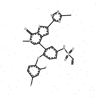 C=CS(=O)(=O)Nc1ccc(Oc2ccc(F)cc2F)c(-c2cn(C)c(=O)c3sc(-c4nnc(C)o4)cc23)c1